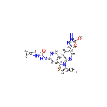 O=C(NCC1CC1)Nc1cc(-c2nc(C(F)(F)F)cs2)c(-c2cncc(-c3n[nH]c(=O)o3)c2)cn1